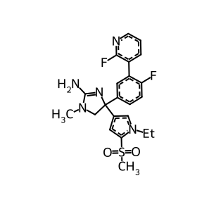 CCn1cc(C2(c3ccc(F)c(-c4cccnc4F)c3)CN(C)C(N)=N2)cc1S(C)(=O)=O